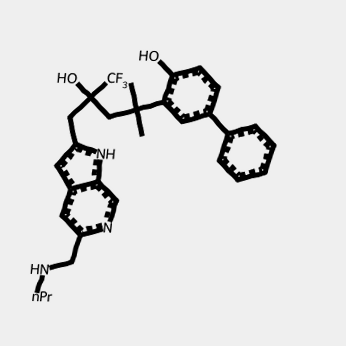 CCCNCc1cc2cc(CC(O)(CC(C)(C)c3cc(-c4ccccc4)ccc3O)C(F)(F)F)[nH]c2cn1